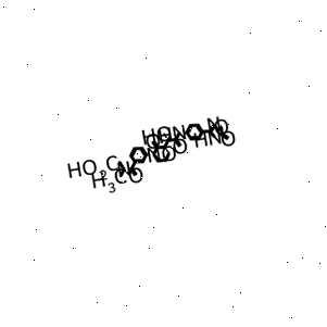 CN(CC(=O)O)C(=O)c1cccc(N2CCO[C@H]([C@@H](O)C(=O)Nc3ccc(-c4noc(=O)[nH]4)cc3)C2=O)c1